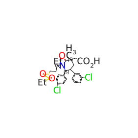 CC[C@@H](CCS(=O)(=O)CC)N1C(=O)[C@](C)(CC(=O)O)CC(c2cccc(Cl)c2)[C@H]1c1ccc(Cl)cc1